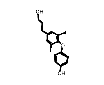 OCCCc1cc(I)c(Oc2ccc(O)cc2)c(I)c1